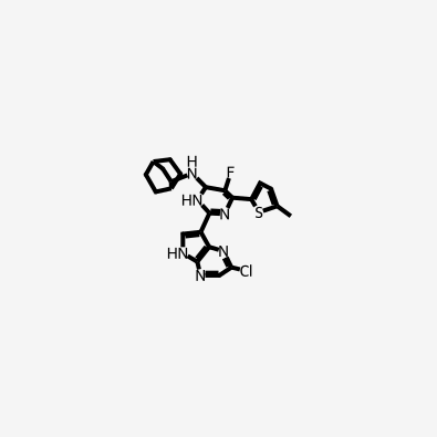 Cc1ccc(C2=C(F)C(NC3CC4CCC3CC4)NC(c3c[nH]c4ncc(Cl)nc34)=N2)s1